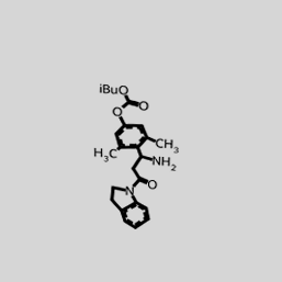 Cc1cc(OC(=O)OCC(C)C)cc(C)c1C(N)CC(=O)N1CCc2ccccc21